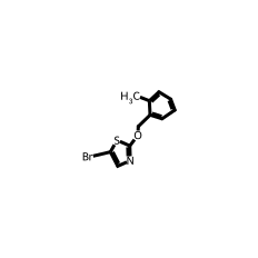 Cc1ccccc1COc1ncc(Br)s1